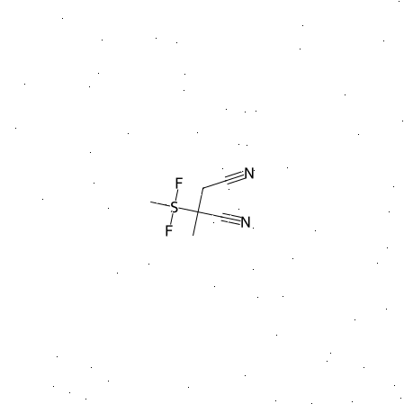 CC(C#N)(CC#N)S(C)(F)F